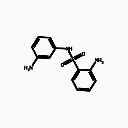 Nc1cccc(NS(=O)(=O)c2ccccc2N)c1